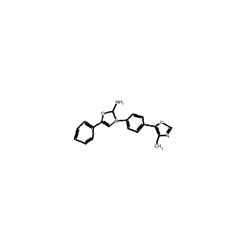 Cc1ncoc1-c1ccc(N2C=C(c3ccccc3)OC2N)cc1